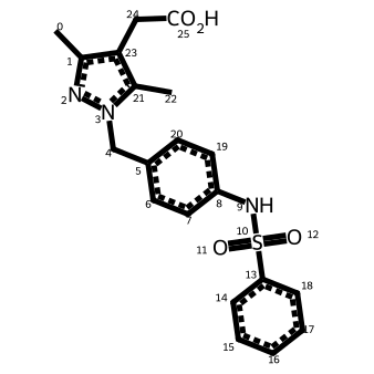 Cc1nn(Cc2ccc(NS(=O)(=O)c3ccccc3)cc2)c(C)c1CC(=O)O